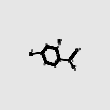 O=S([O-])c1ccc(Br)cc1.[K+]